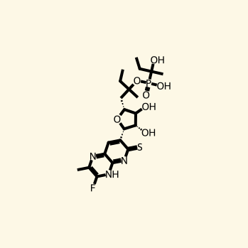 CCC(C)(C[C@H]1O[C@@H](c2cc3nc(C)c(F)[nH]c-3nc2=S)[C@@H](O)C1O)OP(=O)(O)C(C)(O)CC